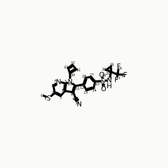 CSc1cnc2c(c1)c(C#N)c(-c1ccc(S(=O)(=O)NC3(C(F)(F)F)CC3)cc1)n2C1=CC=C1